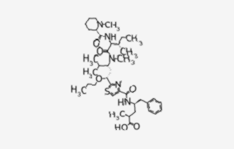 CCCO[C@H](C[C@H](C(C)C)N(C)C(=O)[C@@H](NC(=O)[C@H]1CCCCN1C)[C@@H](C)CC)c1nc(C(=O)N[C@@H](Cc2ccccc2)C[C@H](C)C(=O)O)cs1